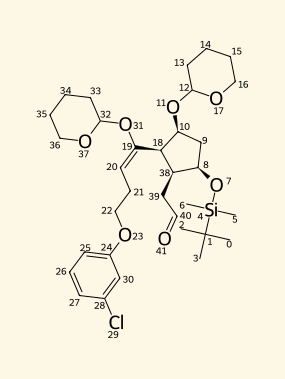 CC(C)(C)[Si](C)(C)O[C@@H]1C[C@H](OC2CCCCO2)[C@H](/C(=C\CCOc2cccc(Cl)c2)OC2CCCCO2)[C@@H]1CC=O